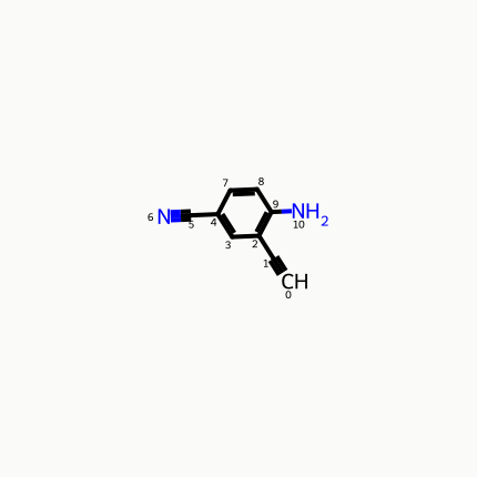 C#Cc1cc(C#N)ccc1N